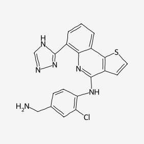 NCc1ccc(Nc2nc3c(-c4nnc[nH]4)cccc3c3sccc23)c(Cl)c1